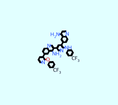 Nc1ccnc2ccc(-c3cc(-c4cnc5ccc(-c6cccnc6Oc6ccc(C(F)(F)F)cc6)cc5c4N)cnc3Nc3ccc(C(F)(F)F)cc3)cc12